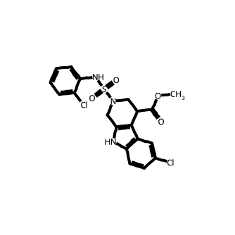 COC(=O)C1CN(S(=O)(=O)Nc2ccccc2Cl)Cc2[nH]c3ccc(Cl)cc3c21